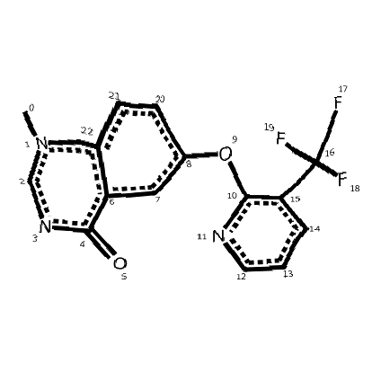 Cn1cnc(=O)c2cc(Oc3ncccc3C(F)(F)F)ccc21